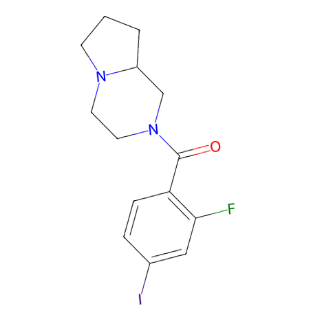 O=C(c1ccc(I)cc1F)N1CCN2CCCC2C1